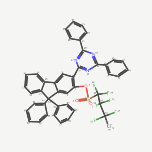 O=S(=O)(Oc1cc2c(cc1-c1nc(-c3ccccc3)nc(-c3ccccc3)n1)-c1ccccc1C2(c1ccccc1)c1ccccc1)C(F)(F)C(F)(F)C(F)(F)C(F)(F)F